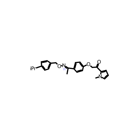 C/C(=N\OCc1ccc(C(C)C)cc1)c1ccc(OCC(=O)c2cccn2C)cc1